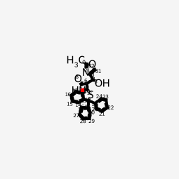 Cc1nc(C(O)C2C(=O)NC2SC(c2ccccc2)(c2ccccc2)c2ccccc2)co1